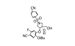 CC(C)COc1cc(C#N)c(F)cc1O[C@H]1CN(S(=O)(=O)c2ccc(C#N)cc2)C[C@@]1(O)CO